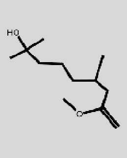 C=C(CC(C)CCCC(C)(C)O)OC